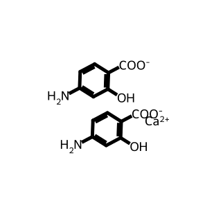 Nc1ccc(C(=O)[O-])c(O)c1.Nc1ccc(C(=O)[O-])c(O)c1.[Ca+2]